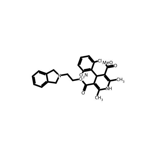 COC(=O)C1=C(C)NC(C)=C(C(=O)OCCN2Cc3ccccc3C2)C1c1c(Cl)cccc1[N+](=O)[O-]